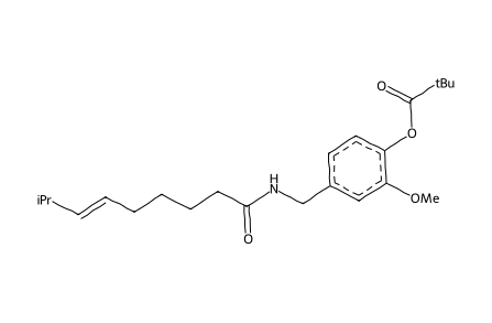 COc1cc(CNC(=O)CCCCC=CC(C)C)ccc1OC(=O)C(C)(C)C